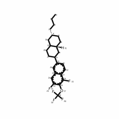 CCCC[C@@H]1CC[C@@H]2CC(c3ccc4c(F)c(OC(F)(F)F)c(F)cc4c3)CCC2C1